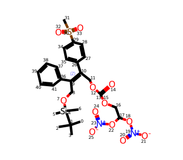 CC(C)(C)[Si](C)(C)OC/C(=C(\COC(=O)OCC(O[N+](=O)[O-])O[N+](=O)[O-])c1ccc(S(C)(=O)=O)cc1)c1ccccc1